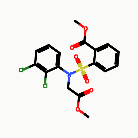 COC(=O)CN(c1cccc(Cl)c1Cl)S(=O)(=O)c1ccccc1C(=O)OC